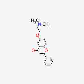 CN(C)CCOc1ccc2oc(-c3ccccc3)cc(=O)c2c1